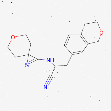 N#CC(Cc1ccc2c(c1)COCC2)NC1=NC12CCOCC2